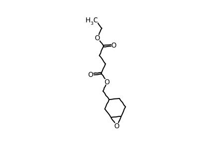 CCOC(=O)CCC(=O)OCC1CCC2OC2C1